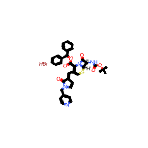 Br.CC(C)(C)OC(=O)N[C@@H]1C(=O)N2C(C(=O)OC(c3ccccc3)c3ccccc3)=C(C=C3CCN(Cc4ccncc4)C3=O)CS[C@H]12